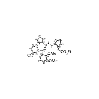 CCOC(=O)Cn1nnnc1CC[C@H]1O[C@H](c2cccc(OC)c2OC)c2cc(Cl)ccc2-n2cccc21